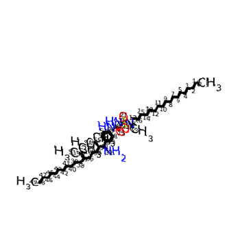 CCCCCCCCCCCCCCCCCCN(C)S(=O)(=O)NC(=O)Nc1ccc(C(N)C(CCCC(CCCCCCCCCCCC)C(C)C)C(C)C)cc1